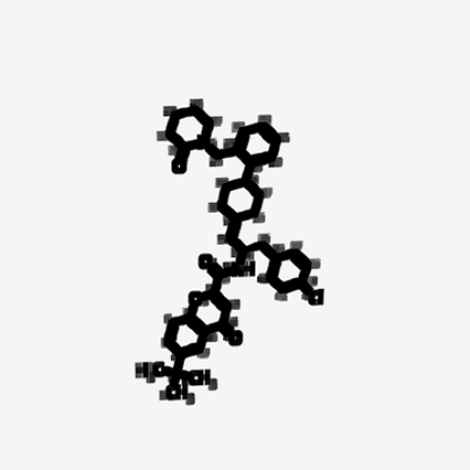 CC(C)(C)c1ccc2oc(C(=O)N[C@@H](C=C3CCC(c4ccccc4CN4CCCCC4=O)CC3)Cc3ccc(Cl)cc3)cc(=O)c2c1